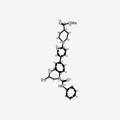 CCC1CN(C(=O)Nc2ccccc2)c2ccc(-c3ccc(N4CCC(C(=O)OC)CC4)nc3)cc2O1